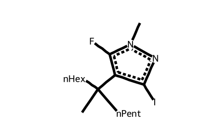 CCCCCCC(C)(CCCCC)c1c(I)nn(C)c1F